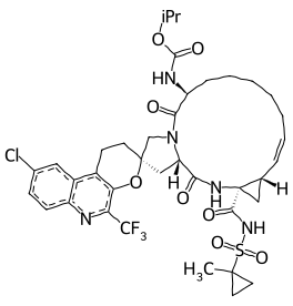 CC(C)OC(=O)N[C@H]1CCCCC/C=C\[C@@H]2C[C@@]2(C(=O)NS(=O)(=O)C2(C)CC2)NC(=O)[C@@H]2C[C@]3(CCc4c(c(C(F)(F)F)nc5ccc(Cl)cc45)O3)CN2C1=O